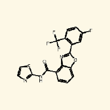 O=C(Nc1nccs1)c1cccc2oc(-c3cc(F)ccc3C(F)(F)F)nc12